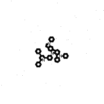 c1ccc(-c2cc(-c3ccccc3)nc(-c3cccc(-n4c5cc6ccn(-c7ccccc7)c6cc5c5ccc6c(c7ccccc7n6-c6ccccc6)c54)c3)c2)cc1